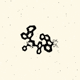 CC1(C)c2cccc(-c3ccc(-c4cc(-c5cc6ccccc6c6ccccc56)nc(-c5ccccc5)n4)c4ccccc34)c2-c2c1ccc1ccccc21